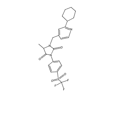 CC1C(=O)N(c2ccc(S(=O)(=O)C(F)(F)F)cc2)C(=O)N1Cc1ccnc(C2CCCCC2)c1